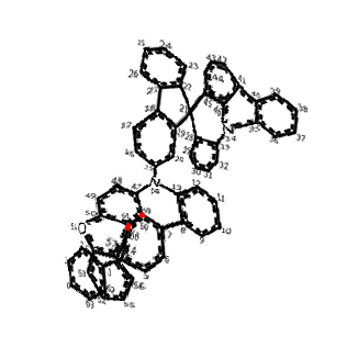 c1ccc(-c2ccc(-c3ccccc3N(c3ccc4c(c3)C3(c5ccccc5-4)c4ccccc4-n4c5ccccc5c5cccc3c54)c3ccc4oc5ccccc5c4c3)cc2)cc1